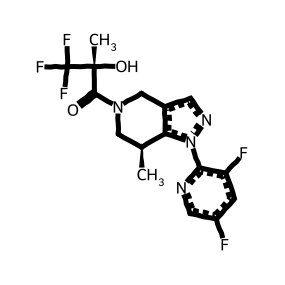 C[C@H]1CN(C(=O)[C@@](C)(O)C(F)(F)F)Cc2cnn(-c3ncc(F)cc3F)c21